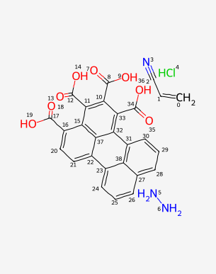 C=CC#N.Cl.NN.O=C(O)c1c(C(=O)O)c2c(C(=O)O)ccc3c4cccc5cccc(c(c1C(=O)O)c23)c54